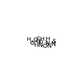 COC(C)(CC(=O)Nc1ccc2nc(-c3cscn3)[nH]c2c1)c1ccccc1